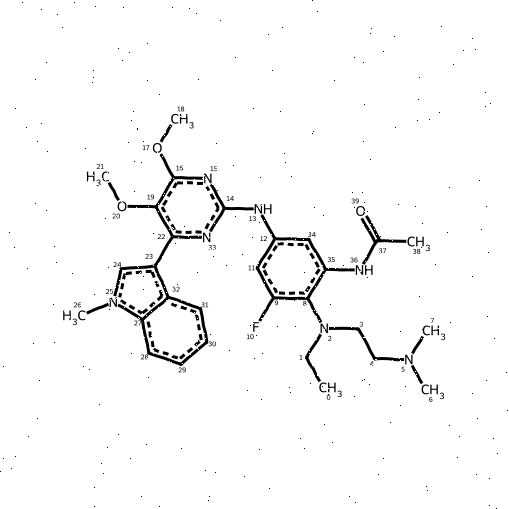 CCN(CCN(C)C)c1c(F)cc(Nc2nc(OC)c(OC)c(-c3cn(C)c4ccccc34)n2)cc1NC(C)=O